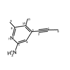 CC#Cc1cc(N)nc(C)c1C